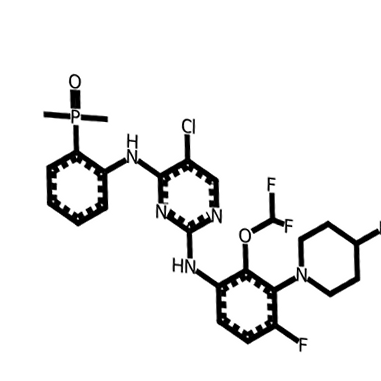 CP(C)(=O)c1ccccc1Nc1nc(Nc2ccc(F)c(N3CCC(F)CC3)c2OC(F)F)ncc1Cl